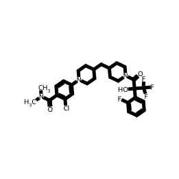 CN(C)C(=O)c1ccc(N2CCC(CC3CCN(C(=O)C(O)(c4ccccc4F)C(F)(F)F)CC3)CC2)cc1Cl